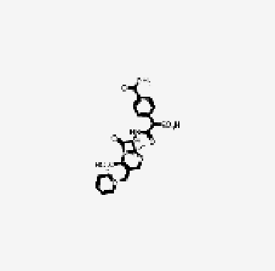 NC(=O)c1ccc(C(C(=O)N[C@@H]2C(=O)N3C(C(=O)O)=C(C[n+]4ccccc4)CS[C@H]23)S(=O)(=O)O)cc1